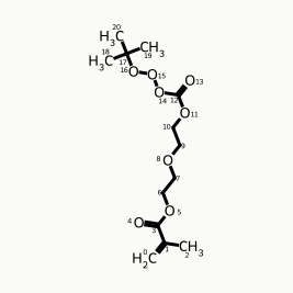 C=C(C)C(=O)OCCOCCOC(=O)OOOC(C)(C)C